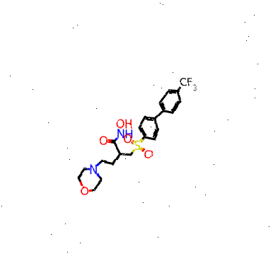 O=C(NO)C(CCN1CCOCC1)CS(=O)(=O)c1ccc(-c2ccc(C(F)(F)F)cc2)cc1